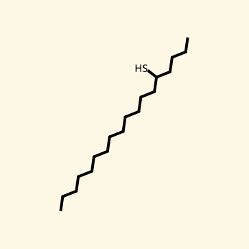 CCCCCCCCCCCCCC(S)CCCC